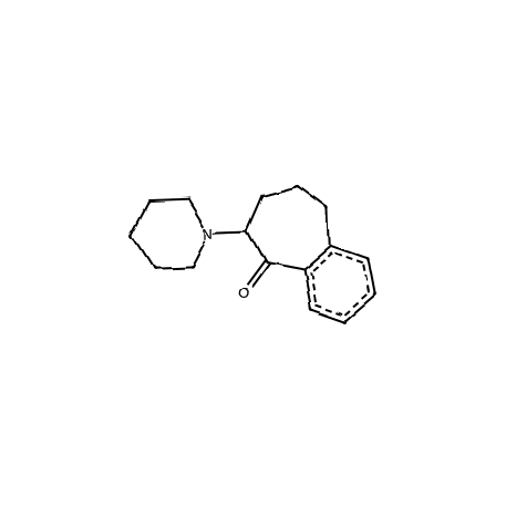 O=C1c2ccccc2CCCC1N1CCCCC1